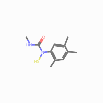 CNC(=O)N(S)c1cc(C)c(C)cc1C